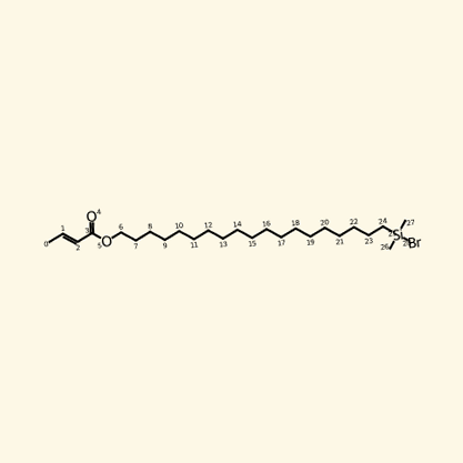 CC=CC(=O)OCCCCCCCCCCCCCCCCCCC[Si](C)(C)Br